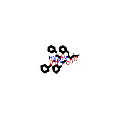 C[C@]1(C(=O)[C@H](Cc2ccccc2)NC(=O)[C@H](Cc2ccccc2)NC(=O)[C@@H](Cc2ccccc2)NC(=O)OCc2ccccc2)CO1